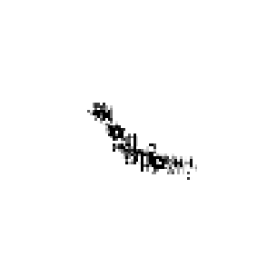 CC(C)(COc1ccc(NC(=O)[C@H](CC(=O)O)NC(=O)CNC(=O)c2cccc(N=C(N)N)c2)cc1)CC(C)(C)C(C)(C)C